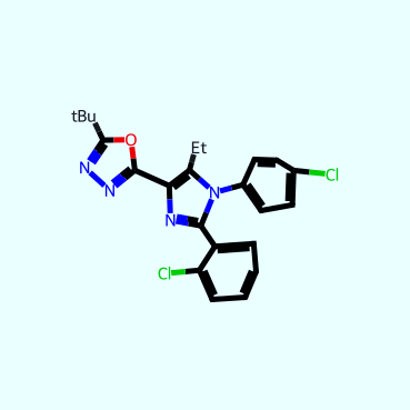 CCc1c(-c2nnc(C(C)(C)C)o2)nc(-c2ccccc2Cl)n1-c1ccc(Cl)cc1